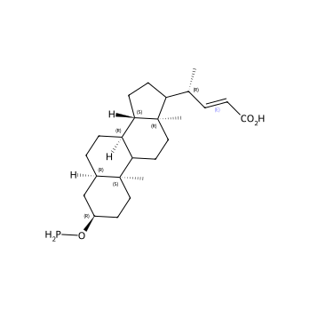 C[C@H](/C=C/C(=O)O)C1CC[C@H]2[C@@H]3CC[C@@H]4C[C@H](OP)CC[C@]4(C)C3CC[C@]12C